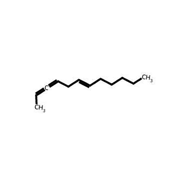 CC=C=CCC=CCCCCC